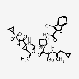 C=CC1CC1(NC(=O)[C@@H]1C[C@@H](NC(=O)c2sc3ccccc3c2Cl)CN1C(=O)[C@@H](NC(=C)CC1CC1)C(C)(C)C)C(=O)NS(=O)(=O)C1CC1